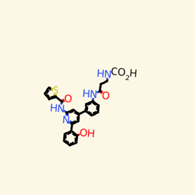 O=C(O)NCCC(=O)Nc1cccc(-c2cc(NC(=O)c3cccs3)nc(-c3ccccc3O)c2)c1